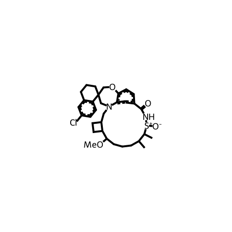 COC1CCCC(C)C(C)[S+]([O-])NC(=O)c2ccc3c(c2)N(CC2CCC21)CC1(CCCc2cc(Cl)ccc21)CO3